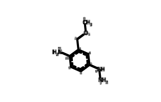 COCc1cc(NN)ccc1N